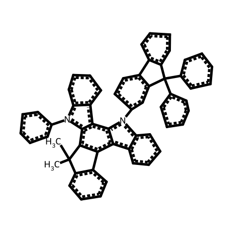 CC1(C)c2ccccc2-c2c1c1c(c3ccccc3n1-c1ccccc1)c1c2c2ccccc2n1-c1ccc2c(c1)C(c1ccccc1)(c1ccccc1)c1ccccc1-2